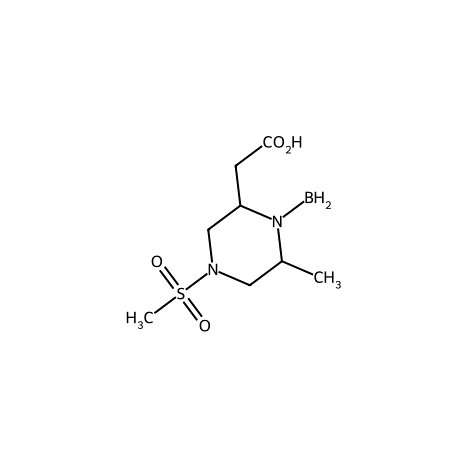 BN1C(C)CN(S(C)(=O)=O)CC1CC(=O)O